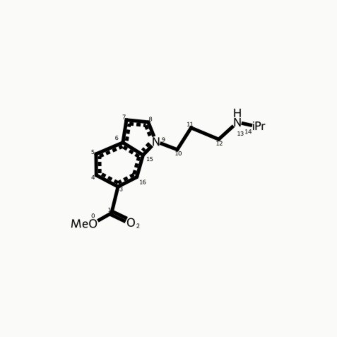 COC(=O)c1ccc2ccn(CCCNC(C)C)c2c1